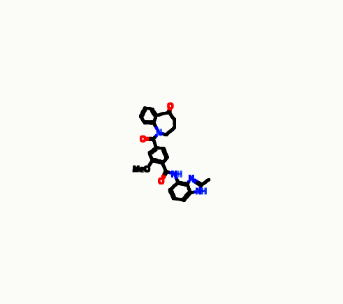 COc1cc(C(=O)N2CCCC(=O)c3ccccc32)ccc1C(=O)Nc1cccc2[nH]c(C)nc12